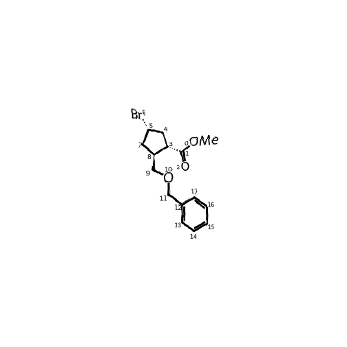 COC(=O)[C@H]1C[C@@H](Br)C[C@@H]1COCc1ccccc1